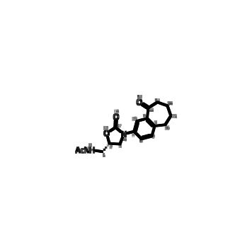 CC(=O)NC[C@H]1CN(c2ccc3c(c2)C(=O)CCCC3)C(=O)O1